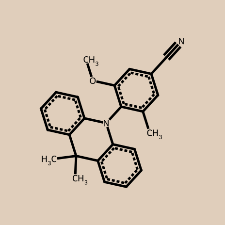 COc1cc(C#N)cc(C)c1N1c2ccccc2C(C)(C)c2ccccc21